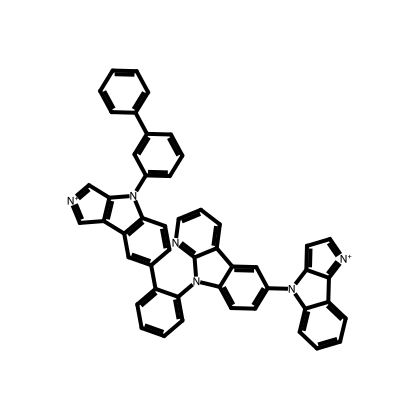 C1=[N+]=Cc2c1c1cc(-c3ccccc3-n3c4ccc(-n5c6c(c7ccccc75)=[N+]=CC=6)cc4c4cccnc43)ccc1n2-c1cccc(-c2ccccc2)c1